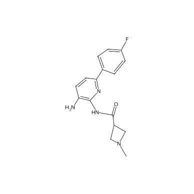 CN1CC(C(=O)Nc2nc(-c3ccc(F)cc3)ccc2N)C1